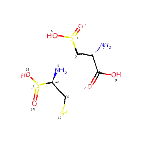 N[C@@H](CS(=O)O)C(=O)O.N[C@@H](CS)S(=O)O